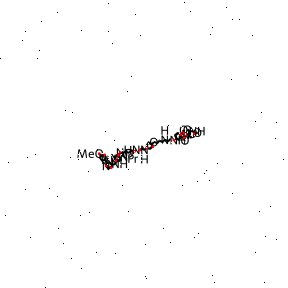 COC1CCN(c2nccc(Nc3cc4c(cn3)nc(COCCNCCNc3ccc(OCCCNCCNc5ccc6c(c5)C(=O)N(C5CCC(=O)NC5=O)C6=O)cc3)n4C(C)C)n2)CC1